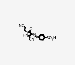 N#CCCn1[nH]c(C#N)c(/N=N/c2ccc(S(=O)(=O)O)cc2)c1=O